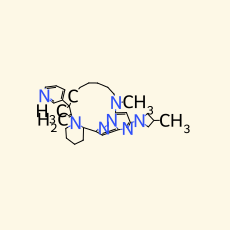 C=C1N2CCCCC2c2cc3nc(N4CC(C)C4)cc(n3n2)N(C)CCCCCCC1(C)c1cccnc1